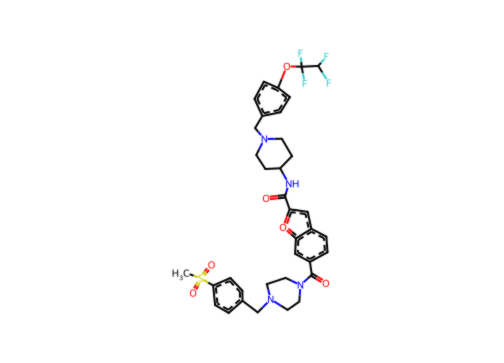 CS(=O)(=O)c1ccc(CN2CCN(C(=O)c3ccc4cc(C(=O)NC5CCN(Cc6ccc(OC(F)(F)C(F)F)cc6)CC5)oc4c3)CC2)cc1